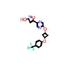 Oc1cc(-c2cnc(O[C@H]3C[C@@H](Oc4ccc(C(F)(F)F)cc4)C3)cn2)on1